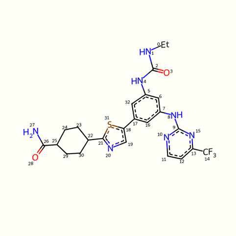 CCNC(=O)Nc1cc(Nc2nccc(C(F)(F)F)n2)cc(-c2cnc(C3CCC(C(N)=O)CC3)s2)c1